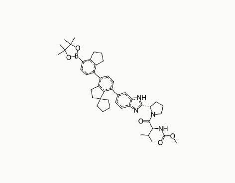 COC(=O)N[C@H](C(=O)N1CCC[C@H]1c1nc2ccc(-c3ccc(-c4ccc(B5OC(C)(C)C(C)(C)O5)c5c4CCC5)c4c3C3(CCCC3)CC4)cc2[nH]1)C(C)C